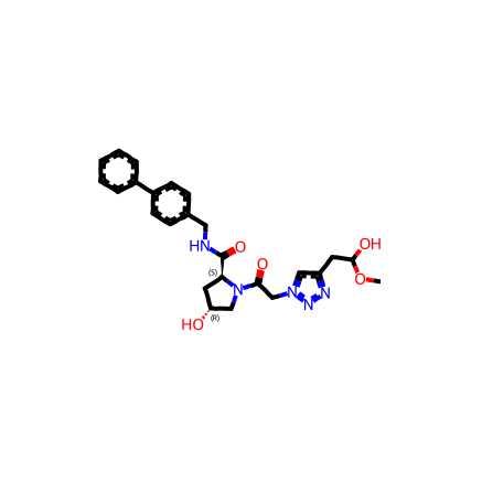 COC(O)Cc1cn(CC(=O)N2C[C@H](O)C[C@H]2C(=O)NCc2ccc(-c3ccccc3)cc2)nn1